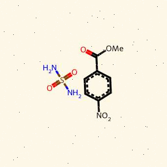 COC(=O)c1ccc([N+](=O)[O-])cc1.NS(N)(=O)=O